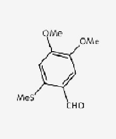 COc1cc(C=O)c(SC)cc1OC